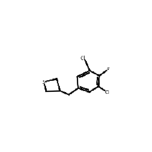 Fc1c(Cl)cc([CH]C2CSC2)cc1Cl